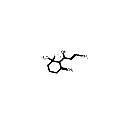 C=C1CCCC(C)(C)C1C(O)C=CC